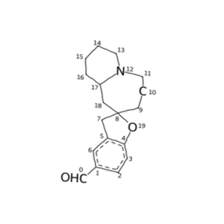 O=Cc1ccc2c(c1)CC1(CCCN3CCCCC3C1)O2